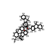 CC(C)(C)c1ccc2c(c1)C1(c3cc(C(C)(C)C)ccc3O2)c2ccccc2-c2ccc(N(c3ccc4c(c3)C(C)(C)c3ccccc3-4)c3ccc4c(c3)C(C)(C)c3ccccc3-4)cc21